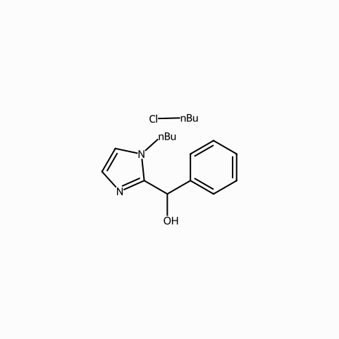 CCCCCl.CCCCn1ccnc1C(O)c1ccccc1